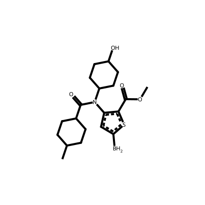 Bc1cc(N(C(=O)C2CCC(C)CC2)C2CCC(O)CC2)c(C(=O)OC)s1